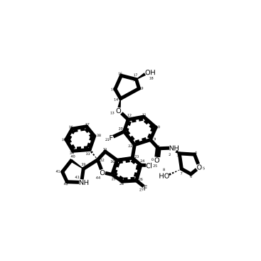 O=C(N[C@H]1COC[C@@H]1O)c1ccc(O[C@H]2CC[C@@H](O)C2)c(F)c1-c1c(Cl)c(F)cc2c1C[C@](c1ccccc1)([C@@H]1CCCN1)O2